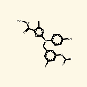 CSNC(=O)c1nc(N(Cc2cc(F)cc(OC(F)F)c2)c2ccc(C#N)cc2)sc1C